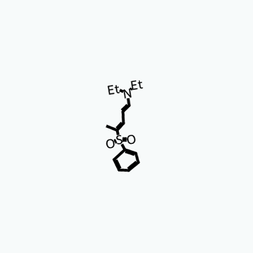 CCN(C=CC=C(C)S(=O)(=O)c1ccccc1)CC